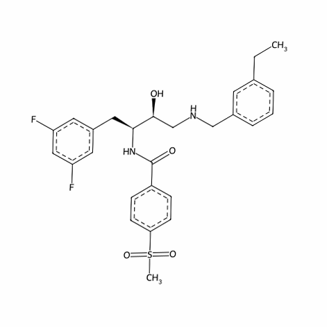 CCc1cccc(CNC[C@H](O)[C@H](Cc2cc(F)cc(F)c2)NC(=O)c2ccc(S(C)(=O)=O)cc2)c1